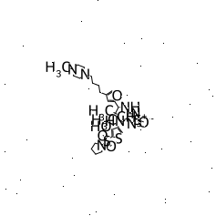 CN1CCN(CCCCc2coc([C@H](Nc3n[s+]([O-])nc3Nc3csc(S(=O)(=O)N4CCCC4)c3O)C(C)(C)C)c2)CC1